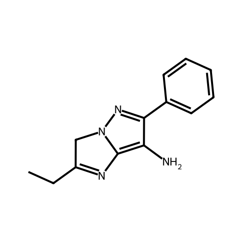 CCC1=Nc2c(N)c(-c3ccccc3)nn2C1